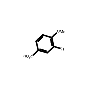 [2H]c1cc(C(=O)O)ccc1OC